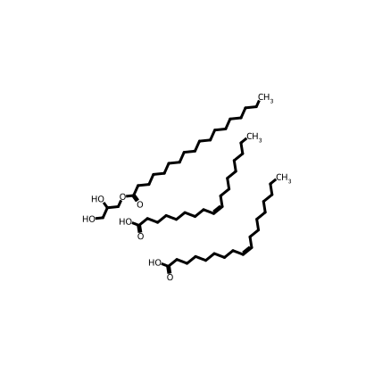 CCCCCCCC/C=C\CCCCCCCC(=O)O.CCCCCCCC/C=C\CCCCCCCC(=O)O.CCCCCCCCCCCCCCCCCC(=O)OCC(O)CO